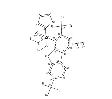 C[CH2][Zr](=[SiH2])([CH2]C)([C]1=CC=CC1)[c]1c(C(C)(C)C)ccc2c1Cc1cc(C(C)(C)C)ccc1-2.Cl.Cl